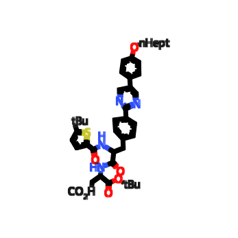 CCCCCCCOc1ccc(-c2cnc(-c3ccc(CC(NC(=O)c4ccc(C(C)(C)C)s4)C(=O)NC(CC(=O)O)C(=O)OC(C)(C)C)cc3)nc2)cc1